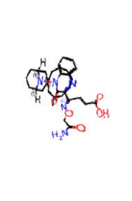 C[C@@H]1CCCCCC[C@@H](N2[C@@H]3CCC[C@H]2C[C@@H](n2c(=O)c(/C(CCC(=O)O)=N/OCC(N)=O)nc4ccccc42)C3)C1